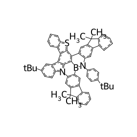 CC(C)(C)c1ccc(N2B3c4cc5c(cc4-n4c6ccc(C(C)(C)C)cc6c6c7c(sc8ccccc87)c(c3c64)-c3cc4c(cc32)-c2ccccc2C4(C)C)C(C)(C)c2ccccc2-5)cc1